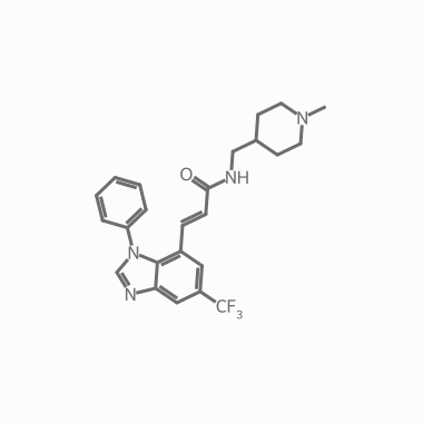 CN1CCC(CNC(=O)C=Cc2cc(C(F)(F)F)cc3ncn(-c4ccccc4)c23)CC1